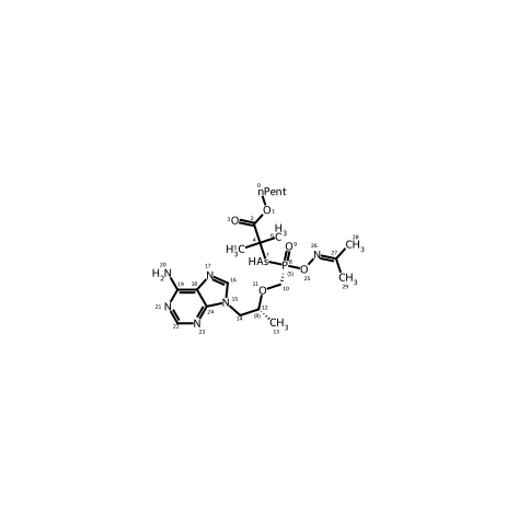 CCCCCOC(=O)C(C)(C)[AsH][P@](=O)(CO[C@H](C)Cn1cnc2c(N)ncnc21)ON=C(C)C